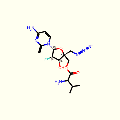 C=C1N=C(N)C=CN1[C@@H]1O[C@](CN=[N+]=[N-])(COC(=O)C(N)C(C)C)[C@@H](O)[C@H]1F